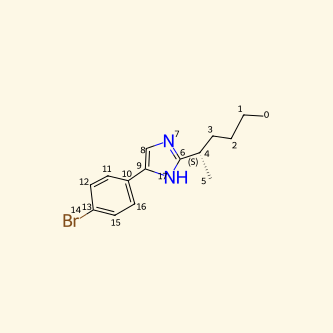 CCCC[C@H](C)c1ncc(-c2ccc(Br)cc2)[nH]1